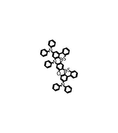 c1ccc(N(c2ccccc2)c2cc3c4c(c2)-c2ccccc2SB4c2cc4c(cc2O3)N(c2ccccc2)c2cc(N(c3ccccc3)c3ccccc3)cc3c2B4Sc2ccccc2-3)cc1